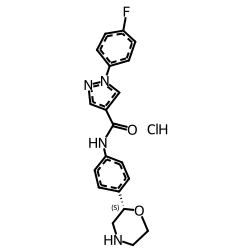 Cl.O=C(Nc1ccc([C@H]2CNCCO2)cc1)c1cnn(-c2ccc(F)cc2)c1